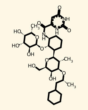 C[C@@H]1[C@@H](O[C@H](C)CC2CCCCC2)[C@@H](O)[C@@H](CO)O[C@H]1C1CCC[C@H](NC(=O)c2cc(=O)[nH]c(=O)[nH]2)[C@H]1O[C@@H]1O[C@@H](C)[C@@H](O)[C@@H](O)[C@@H]1O